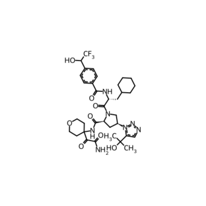 CC(C)(O)c1cnnn1[C@H]1C[C@@H](C(=O)NC2(C(=O)C(N)=O)CCOCC2)N(C(=O)[C@@H](CC2CCCCC2)NC(=O)c2ccc(C(O)C(F)(F)F)cc2)C1